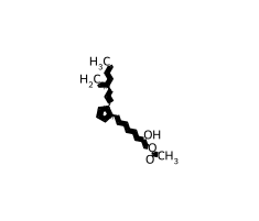 C=C[C@H](CC=C[C@H]1C=CC[C@@H]1CCCCCCC(O)COC(C)=O)CCCC